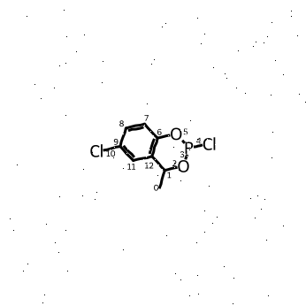 CC1OP(Cl)Oc2ccc(Cl)cc21